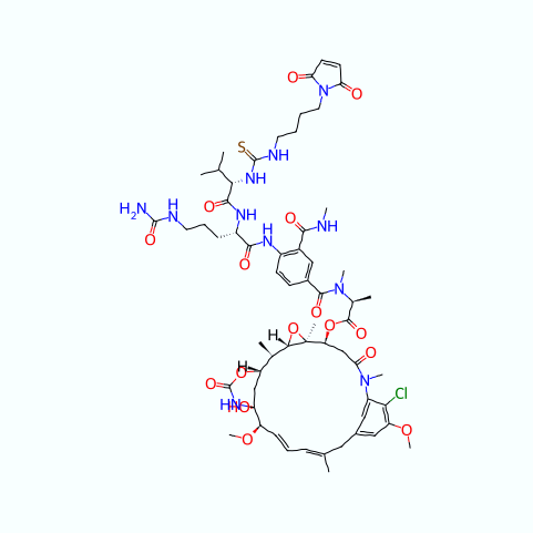 CNC(=O)c1cc(C(=O)N(C)[C@@H](C)C(=O)O[C@H]2CC(=O)N(C)c3cc(cc(OC)c3Cl)C/C(C)=C/C=C/[C@@H](OC)[C@@]3(O)C[C@H](OC(=O)N3)[C@@H](C)[C@@H]3O[C@@]23C)ccc1NC(=O)[C@H](CCCNC(N)=O)NC(=O)[C@@H](NC(=S)NCCCCN1C(=O)C=CC1=O)C(C)C